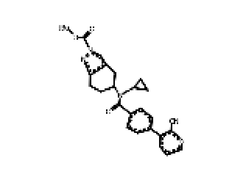 CC(C)(C)OC(=O)n1cc2c(n1)CCC(N(C(=O)c1ccc(-c3cccnc3C#N)cc1)C1CC1)C2